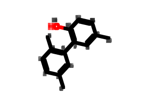 Cc1ccc(C)c(-c2cc(C)ccc2O)c1